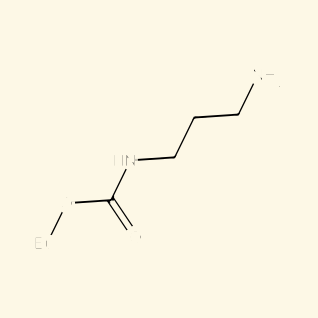 CCOC(=O)NCCCN